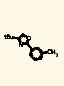 Cc1cccc(-c2nc(C(C)(C)C)co2)c1